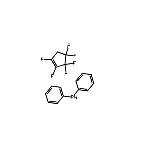 FC1=C(F)C(F)(F)C(F)(F)C1.c1ccc(Pc2ccccc2)cc1